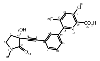 CN1CC[C@@](O)(C#Cc2cccc(-c3nc(C(=O)O)c(Cl)cc3F)c2)C1=O